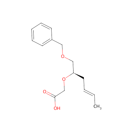 C/C=C/C[C@H](COCc1ccccc1)OCC(=O)O